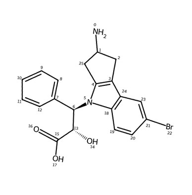 NC1Cc2c(n([C@H](c3ccccc3)[C@H](O)C(=O)O)c3ccc(Br)cc23)C1